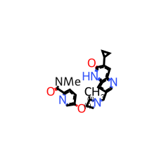 CNC(=O)c1ccc(O[C@H]2CN(Cc3cnc4cc(C5CC5)c(=O)[nH]c4c3)[C@@H]2C)cn1